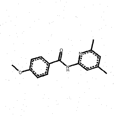 COc1ccc(C(=O)Nc2cc(C)cc(C)n2)cc1